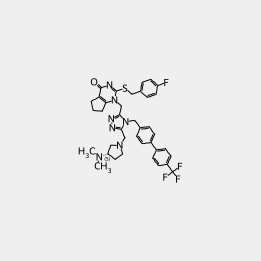 CN(C)[C@H]1CCN(Cc2nnc(Cn3c(SCc4ccc(F)cc4)nc(=O)c4c3CCC4)n2Cc2ccc(-c3ccc(C(F)(F)F)cc3)cc2)C1